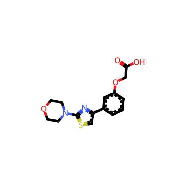 O=C(O)COc1cccc(-c2csc(N3CCOCC3)n2)c1